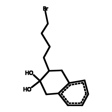 OC1(O)Cc2ccccc2CC1CCCCBr